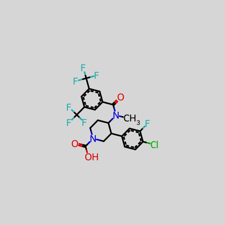 CN(C(=O)c1cc(C(F)(F)F)cc(C(F)(F)F)c1)C1CCN(C(=O)O)CC1c1ccc(Cl)c(F)c1